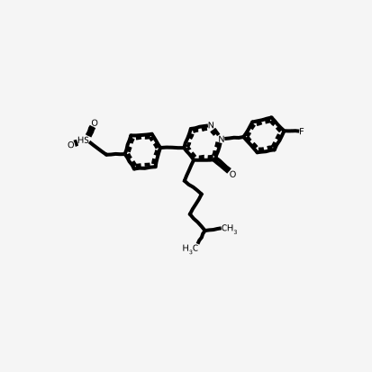 CC(C)CCCc1c(-c2ccc(C[SH](=O)=O)cc2)cnn(-c2ccc(F)cc2)c1=O